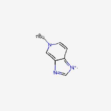 CCCCN1C=CC2=[N+]C=NC2=C1